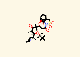 C/C=C/[C@H](C)[C@H](O[Si](C)(C)C(C)(C)C)[C@@H](C)C(=O)C(C)(C)[C@@H](O)CC(=O)N1C2CC3CCC2(CS1(=O)=O)C3(C)C